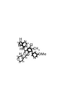 COc1cncc(-c2c(C)c(Cl)cc(C(C)Nc3ncnc4[nH]cnc34)c2OCCN2CCOCC2)c1